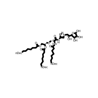 CCCCCCCCCCCCCCCCC(=O)N[C@H](CSC[C@@H](COC(=O)CCCCCCCCCCCCCCCC)OC(=O)CCCCCCCCCCCCCCCC)C(=O)Nc1cn(C[C@H](O)C2OC(O)[C@@H](O)[C@@H]2O)nn1